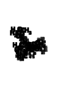 CC(C)c1cccc(CO[Si](c2ccccc2)(c2ccccc2)C(C)(C)C)c1-n1c(=O)nc(N2CCN(C(=O)OC(C)(C)C)C[C@@H]2C)c2cc(Cl)c(-c3ccccc3F)nc21